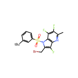 Cc1nc2c(F)c(CBr)n(S(=O)(=O)c3cccc(C(C)(C)C)c3)c2c(F)c1F